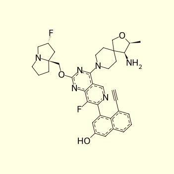 C#Cc1cccc2cc(O)cc(-c3ncc4c(N5CCC6(CC5)CO[C@@H](C)[C@H]6N)nc(OC[C@@]56CCCN5C[C@H](F)C6)nc4c3F)c12